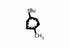 Cc1[c]cc(C(C)(C)C)[c]c1